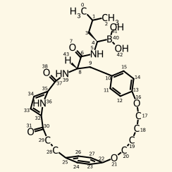 CC(C)C[C@H](NC(=O)[C@@H]1Cc2ccc(cc2)OCCCCOc2ccc(cc2)CCC(=O)c2ccc([nH]2)C(=O)N1)B(O)O